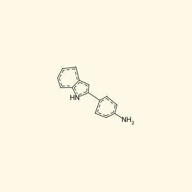 Nc1ccc(-c2cc3ccccc3[nH]2)cc1